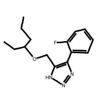 CCCC(CC)OCc1[nH]nnc1-c1ccccc1F